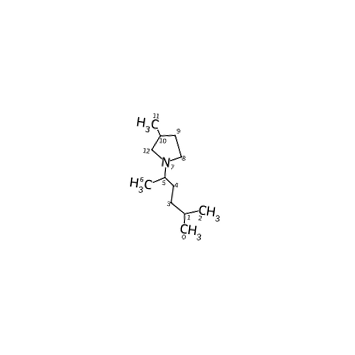 CC(C)CCC(C)N1CCC(C)C1